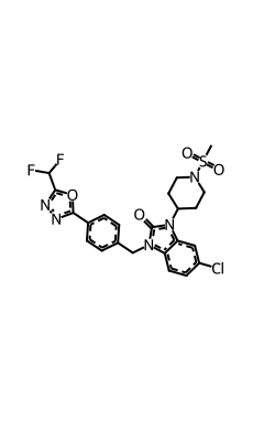 CS(=O)(=O)N1CCC(n2c(=O)n(Cc3ccc(-c4nnc(C(F)F)o4)cc3)c3ccc(Cl)cc32)CC1